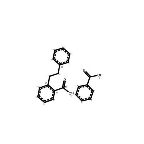 OC(=S)c1ccccc1.OC(=S)c1ccccc1CCc1ccccc1